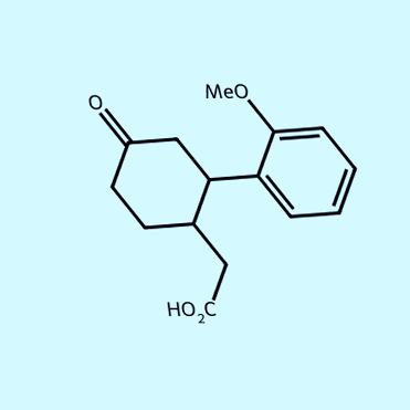 COc1ccccc1C1CC(=O)CCC1CC(=O)O